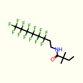 CCC(C)(C)C(=O)NCCC(F)(F)C(F)(F)C(F)(F)C(F)(F)C(F)(F)C(F)(F)F